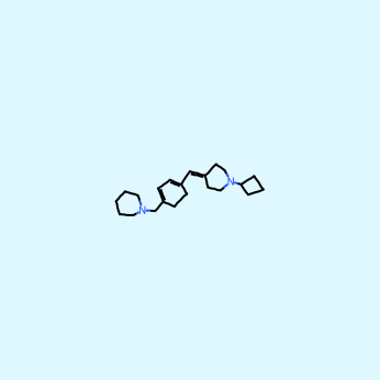 C1=C(C=C2CCN(C3CCC3)CC2)CCC(CN2CCCCC2)=C1